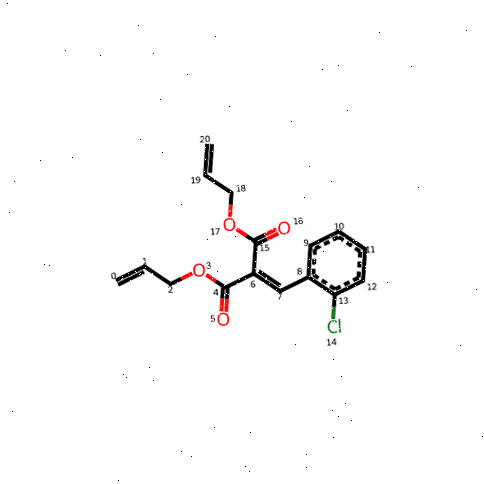 C=CCOC(=O)C(=Cc1ccccc1Cl)C(=O)OCC=C